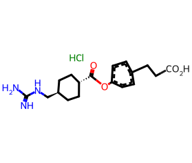 Cl.N=C(N)NC[C@H]1CC[C@H](C(=O)Oc2ccc(CCC(=O)O)cc2)CC1